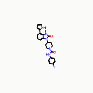 O=C(Nc1ccc(I)cc1)N1CCC(n2c(=O)[nH]c3c(-c4ccc[nH]4)cccc32)CC1